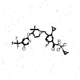 CC1(C)CN(Cc2cc(F)c(C(=O)NS(=O)(=O)C3CC3)cc2C2CC2)CCC1Oc1cc(C(F)(F)F)c(Cl)cn1